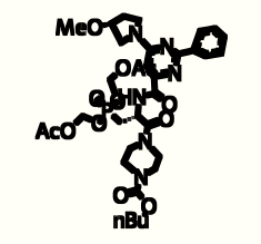 CCCCOC(=O)N1CCN(C(=O)[C@H](CP(=O)(OCOC(C)=O)OCOC(C)=O)NC(=O)c2cc(N3CC[C@H](OC)C3)nc(-c3ccccc3)n2)CC1